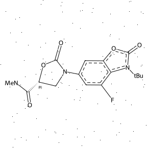 CNC(=O)[C@H]1CN(c2cc(F)c3c(c2)oc(=O)n3C(C)(C)C)C(=O)O1